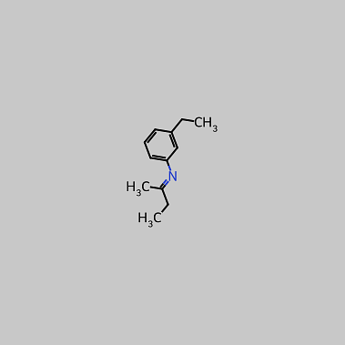 CC/C(C)=N/c1cccc(CC)c1